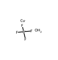 F[B-](F)(F)F.O.[Cu]